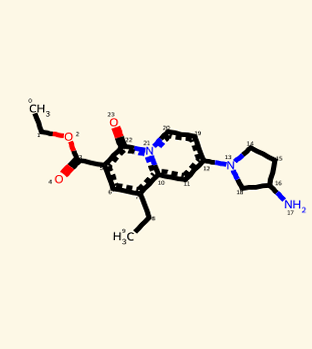 CCOC(=O)c1cc(CC)c2cc(N3CCC(N)C3)ccn2c1=O